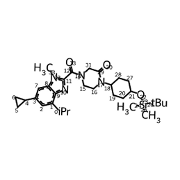 CC(C)c1cc(C2CC2)cc2c1nc(C(=O)N1CCN(C3CCC(O[Si](C)(C)C(C)(C)C)CC3)C(=O)C1)n2C